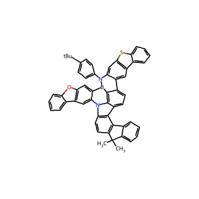 CC(C)(C)c1ccc(N2B3c4cc5oc6ccccc6c5cc4-n4c5ccc6c(c5c5ccc(c3c54)-c3cc4c(cc32)sc2ccccc24)-c2ccccc2C6(C)C)cc1